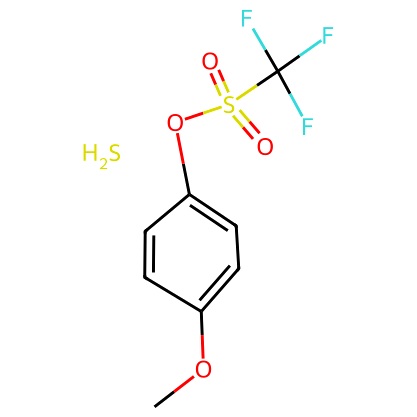 COc1ccc(OS(=O)(=O)C(F)(F)F)cc1.S